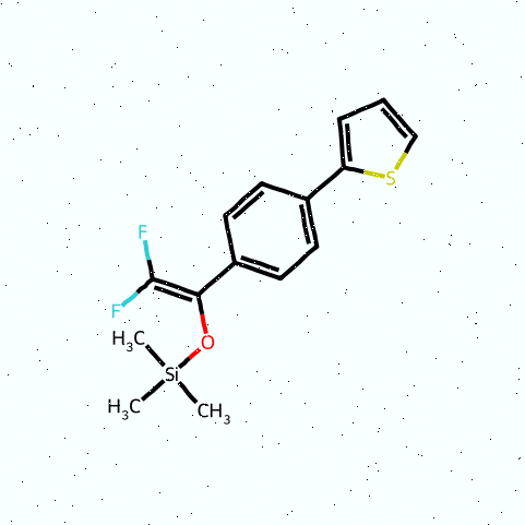 C[Si](C)(C)OC(=C(F)F)c1ccc(-c2cccs2)cc1